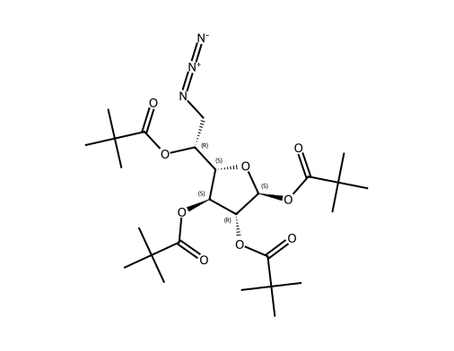 CC(C)(C)C(=O)O[C@@H]1O[C@@H]([C@@H](CN=[N+]=[N-])OC(=O)C(C)(C)C)[C@H](OC(=O)C(C)(C)C)[C@H]1OC(=O)C(C)(C)C